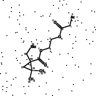 CC(=O)CC(=O)OCCOC(=O)C1(CC(C)(C)C)CC1(C)C